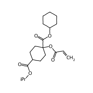 C=CC(=O)OC1(C(=O)OC2CCCCC2)CCC(C(=O)OC(C)C)CC1